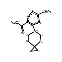 COC(=O)c1ccc(SC)cc1N1CCC2(CC1)CC2